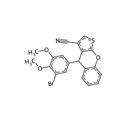 COc1cc(C2c3ccccc3Oc3scc(C#N)c32)cc(Br)c1OC